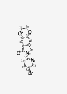 O=C1c2cc3c(cc2CN1c1ccc(Br)cn1)OCCO3